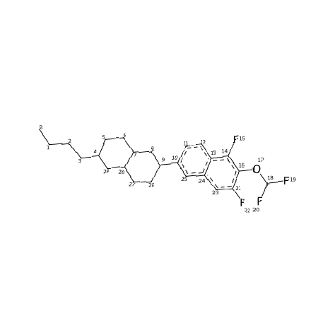 CCCCC1CCC2CC(c3ccc4c(F)c(OC(F)F)c(F)cc4c3)CCC2C1